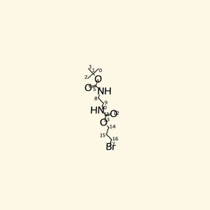 CC(C)(C)OC(=O)NCCNC(=O)OCCCBr